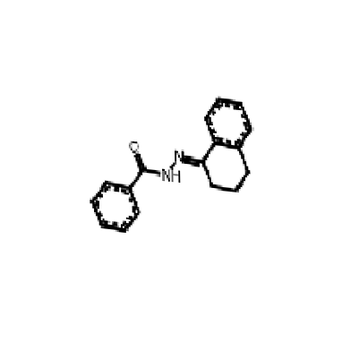 O=C(NN=C1CCCc2ccccc21)c1ccccc1